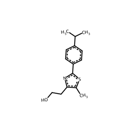 Cc1sc(-c2ccc(C(C)C)cc2)nc1CCO